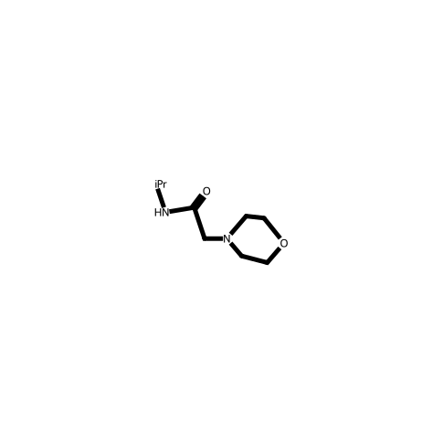 CC(C)NC(=O)CN1CCOCC1